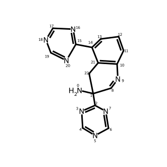 NC1(c2ncncn2)C=Nc2cccc(-c3ncncn3)c2C1